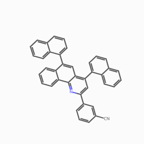 N#Cc1cccc(-c2cc(-c3cccc4ccccc34)c3cc(-c4cccc5ccccc45)c4ccccc4c3n2)c1